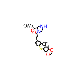 COC(=O)C1CNCCN1C(=O)C=Cc1ccc(Sc2ccc3c(c2)OCCO3)c(C(F)(F)F)c1